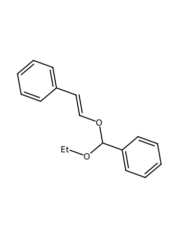 CCOC(OC=Cc1ccccc1)c1ccccc1